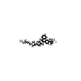 CNCCN1CCN(c2ccc3nc(-c4ccc(C5(N)CCC5)cc4)c(-c4ccccc4)nc3n2)CC1